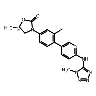 C[C@@H]1CN(c2ccc(-c3ccc(Nc4nnnn4C)nc3)c(F)c2)C(=O)O1